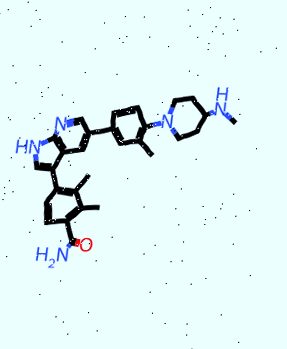 CNC1CCN(c2ccc(-c3cnc4[nH]cc(-c5ccc(C(N)=O)c(C)c5C)c4c3)cc2C)CC1